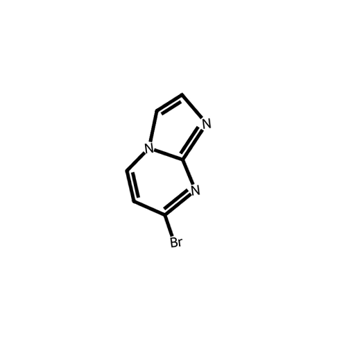 Brc1ccn2ccnc2n1